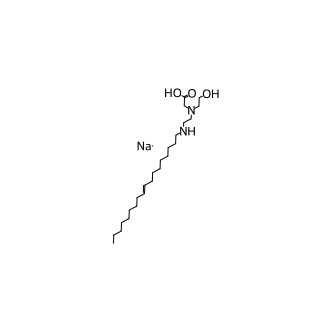 CCCCCCCCC=CCCCCCCCCNCCN(CCO)CC(=O)O.[Na]